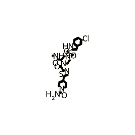 CNC(=O)C1CN(S(=O)(=O)c2cc3cc(Cl)ccc3[nH]2)CCN1C(=O)c1ncc(C2=CCN(C(N)=O)CC2)s1